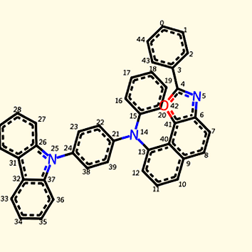 c1ccc(-c2nc3ccc4cccc(N(c5ccccc5)c5ccc(-n6c7ccccc7c7ccccc76)cc5)c4c3o2)cc1